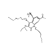 CCCCCCOc1c(OC(C)C)c(=O)n(CCCCCC)c2cc(C(C)=O)cc(N)c12